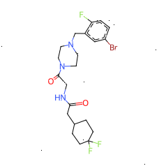 O=C(CC1CCC(F)(F)CC1)NCC(=O)N1CCN(Cc2cc(Br)ccc2F)CC1